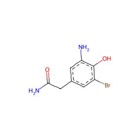 NC(=O)Cc1cc(N)c(O)c(Br)c1